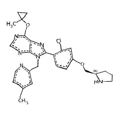 Cc1ccnc(Cn2c(-c3ccc(OC[C@H]4CCCN4)cc3Cl)nc3c(OC4(C)CC4)ncnc32)c1